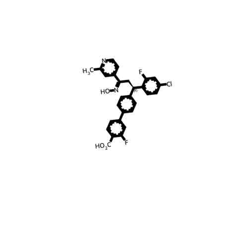 Cc1cc(C(C[C@H](c2ccc(-c3ccc(C(=O)O)c(F)c3)cc2)c2ccc(Cl)cc2F)=NO)ccn1